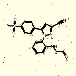 CS(=O)(=O)c1ccc(-c2cc(C#N)nn2-c2ccccc2NCC=O)cc1